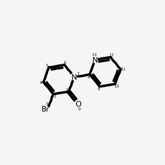 O=c1c(Br)cccn1-c1ccccn1